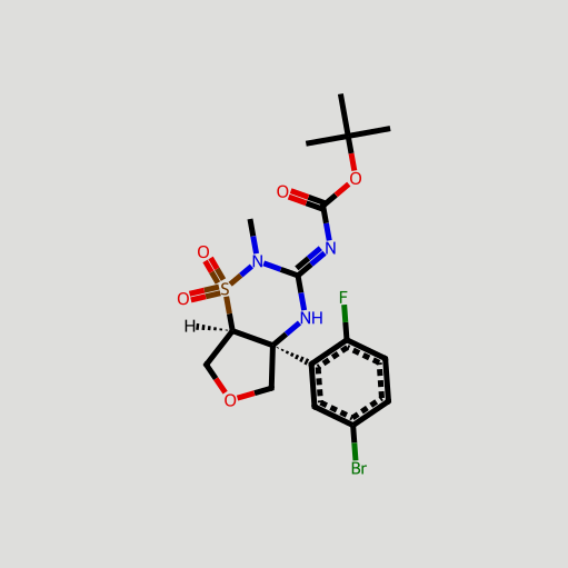 CN1/C(=N\C(=O)OC(C)(C)C)N[C@@]2(c3cc(Br)ccc3F)COC[C@H]2S1(=O)=O